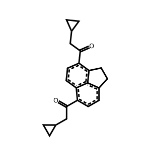 O=C(CC1CC1)c1ccc2c(C(=O)CC3CC3)ccc3c2c1CC3